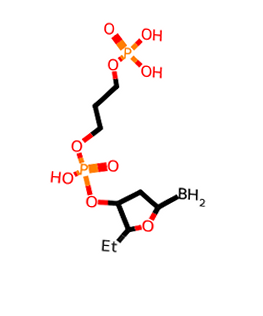 BC1CC(OP(=O)(O)OCCCOP(=O)(O)O)C(CC)O1